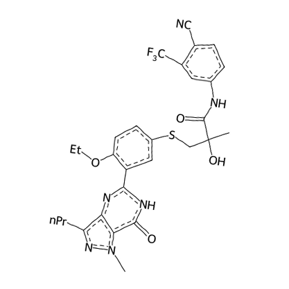 CCCc1nn(C)c2c(=O)[nH]c(-c3cc(SCC(C)(O)C(=O)Nc4ccc(C#N)c(C(F)(F)F)c4)ccc3OCC)nc12